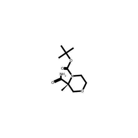 CC(C)(C)OC(=O)N1CCOC[C@]1(C)C(N)=O